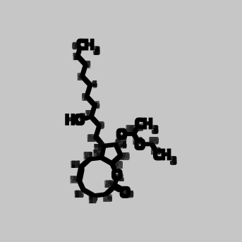 CCCCCCC[C@H](O)CC[C@@H]1C2C/C=C\CCCC(=O)OC2C[C@H]1OC(C)OCC